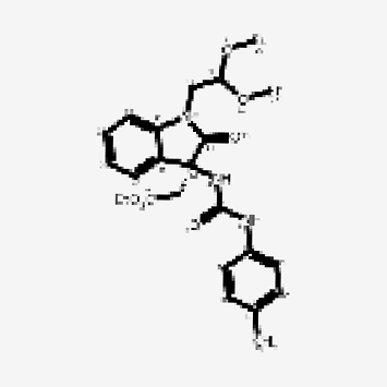 CCOC(=O)C[C@@]1(NC(=O)Nc2ccc(C)cc2)C(=O)N(CC(OCC)OCC)c2ccccc21